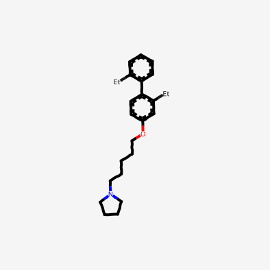 CCc1ccccc1-c1ccc(OCCCCCN2CCCC2)cc1CC